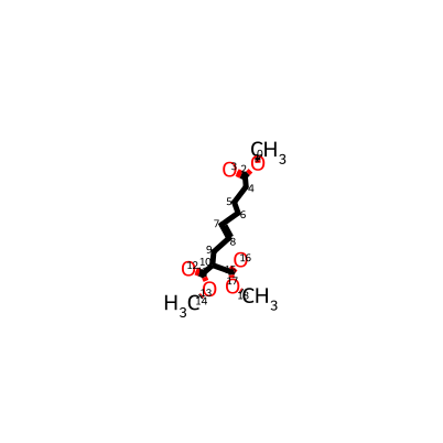 COC(=O)CCCC=CCC(C(=O)OC)C(=O)OC